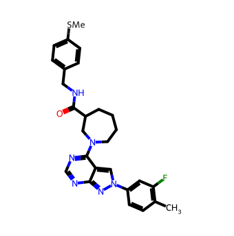 CSc1ccc(CNC(=O)C2CCCCN(c3ncnc4nn(-c5ccc(C)c(F)c5)cc34)C2)cc1